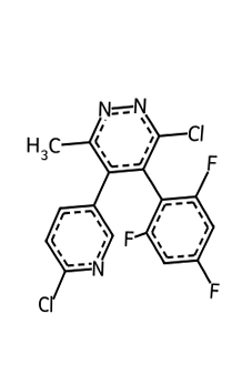 Cc1nnc(Cl)c(-c2c(F)cc(F)cc2F)c1-c1ccc(Cl)nc1